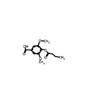 CCCC(=O)Oc1c(OC)cc(C(=O)O)cc1OC